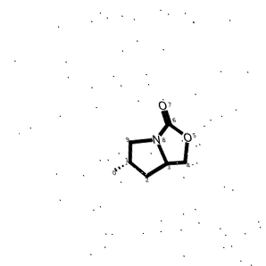 C[C@H]1CC2COC(=O)N2C1